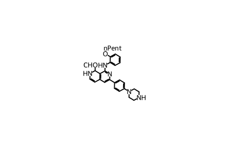 CCCCCOc1ccccc1Nc1nc(-c2ccc(N3CCNCC3)cc2)cc2c1C(C=O)NC=C2